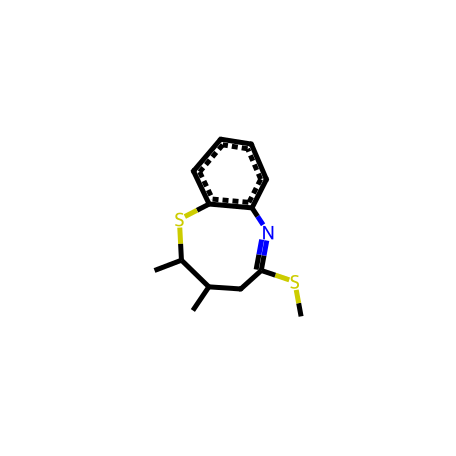 CSC1=Nc2ccccc2SC(C)C(C)C1